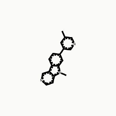 Cc1cncc(-c2ccc3c4cnccc4n(C)c3c2)c1